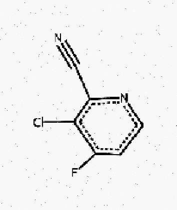 N#Cc1nccc(F)c1Cl